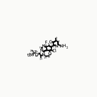 Cc1cc(N)nc(-c2cc3ncnc4c3c(c2Cl)OCCN4C(C)CO[Si](C)(C)C(C)(C)C)c1C(F)(F)F